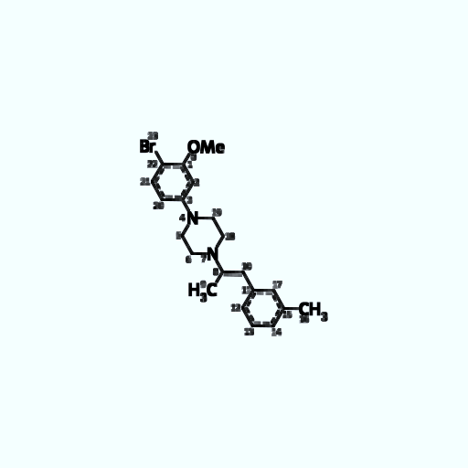 COc1cc(N2CCN(C(C)=Cc3cccc(C)c3)CC2)ccc1Br